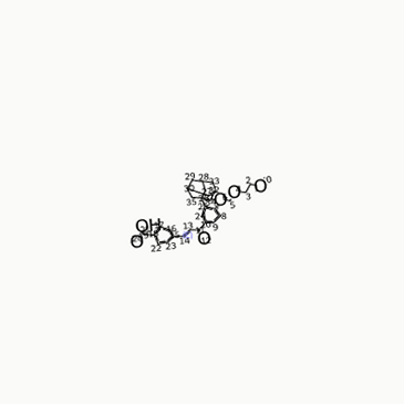 COCCOCOc1ccc(C(=O)/C=C/c2ccc(C(=O)O)cc2)cc1C12CC3CC(CC(C3)C1)C2